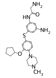 CN1CCN(c2ccc(Sc3cc(N)cc(NC(=O)CN)c3)cc2OC2CCCC2)CC1